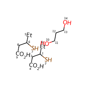 CCC(S)CC(=O)O.CCC(S)CC(=O)O.OCCCO